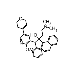 COc1ncc(C2=CCOCC2)cc1C(c1ccccc1)C(O)(CCN(C)C)c1cccc2ccccc12